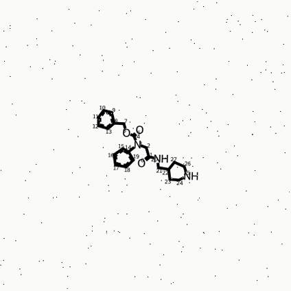 O=C(CN(C(=O)OCc1ccccc1)c1ccccc1)NCC1CCNCC1